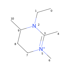 CCN1C(C)=[N+](C)CCC1C